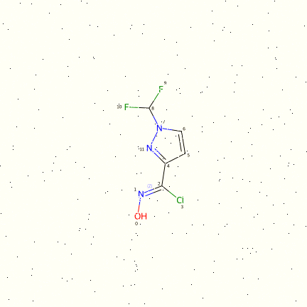 O/N=C(\Cl)c1ccn(C(F)F)n1